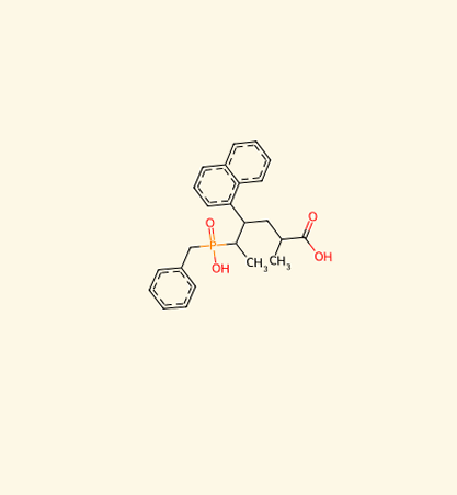 CC(CC(c1cccc2ccccc12)C(C)P(=O)(O)Cc1ccccc1)C(=O)O